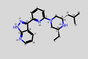 CC[C@H]1CN(c2cccc(-c3n[nH]c4ncccc34)n2)C[C@H](CC(C)C)N1